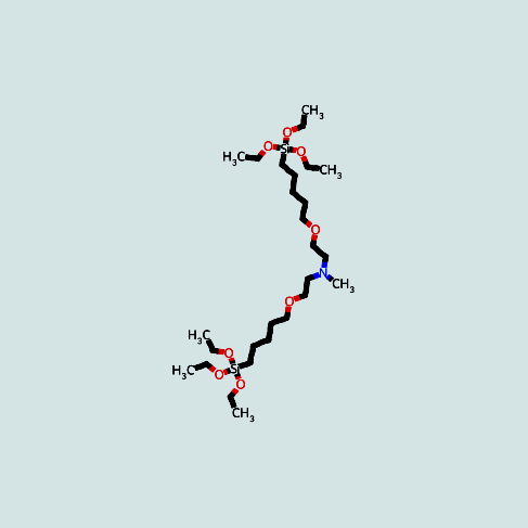 CCO[Si](CCCCCOCCN(C)CCOCCCCC[Si](OCC)(OCC)OCC)(OCC)OCC